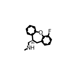 CNC[C@@H]1Cc2cccc(F)c2Oc2ccccc21